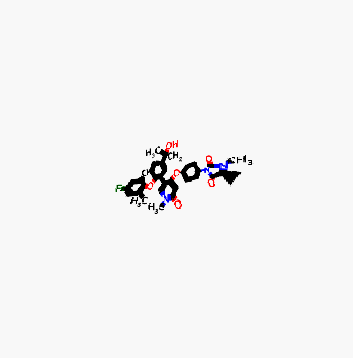 Cc1cc(F)cc(C)c1Oc1ccc(C(C)(C)O)cc1-c1cn(C)c(=O)cc1O[C@H]1CC[C@H](N2C(=O)N(C)C3(CC3)C2=O)CC1